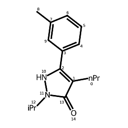 CCCc1c(-c2cccc(C)c2)[nH]n(C(C)C)c1=O